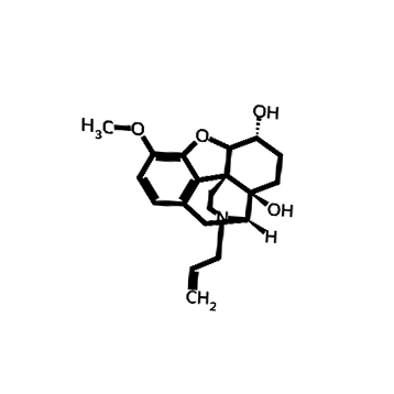 C=CCN1CC[C@@]23c4c5ccc(OC)c4OC2[C@H](O)CC[C@]3(O)[C@@H]1C5